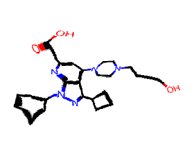 O=C(O)c1cc(N2CCN(CCCO)CC2)c2c(C3CCC3)nn(-c3ccccc3)c2n1